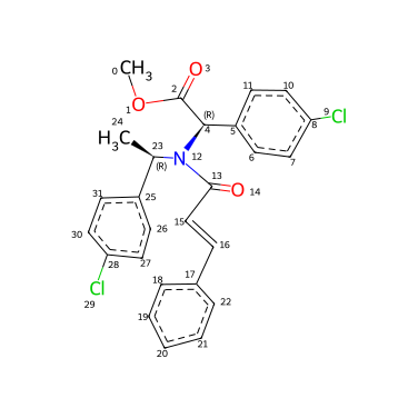 COC(=O)[C@@H](c1ccc(Cl)cc1)N(C(=O)C=Cc1ccccc1)[C@H](C)c1ccc(Cl)cc1